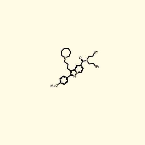 COc1ccc(-c2nn3ccc(C(=O)N(CCC(C)C)CCC(C)C)cc3c2CCCN2CCCCCC2)cc1